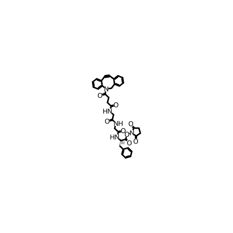 O=C(CCC(=O)N1Cc2ccccc2C#Cc2ccccc21)NCC(=O)NCC(=O)N[C@@H](Cc1ccccc1)C(=O)ON1C(=O)CCC1=O